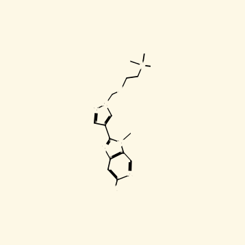 Cn1c(-c2cnn(COCCS(C)(C)C)c2)nc2cc(Br)ncc21